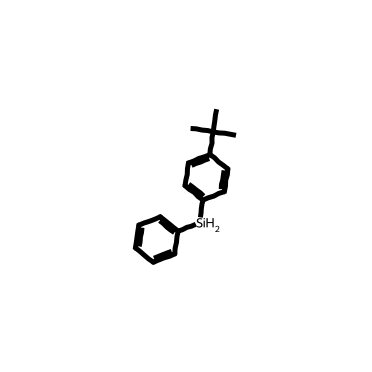 CC(C)(C)c1ccc([SiH2]c2ccccc2)cc1